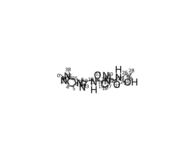 Cc1nc2ccc(-n3cc(CNC(=O)c4cccn5c(C(=O)N[C@H](CO)CC(C)C)cnc45)cn3)cc2n1C